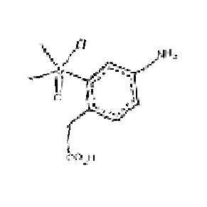 CS(C)(=O)(Cl)c1cc(N)ccc1CC(=O)O